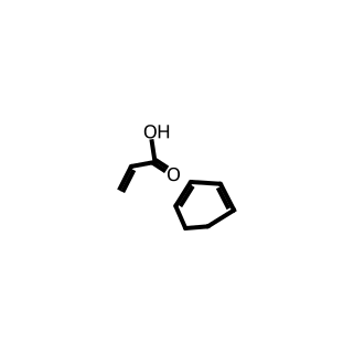 C1=CCCC=C1.C=CC(=O)O